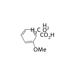 CC(=O)O.COc1ccccc1.O